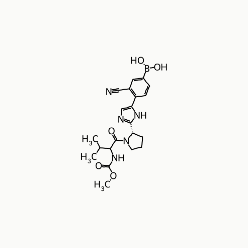 COC(=O)NC(C(=O)N1CCC[C@H]1c1ncc(-c2ccc(B(O)O)cc2C#N)[nH]1)C(C)C